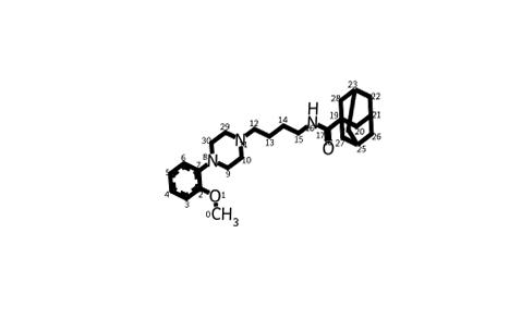 COc1ccccc1N1CCN(CCCCNC(=O)C23CC4CC(CC(C4)C2)C3)CC1